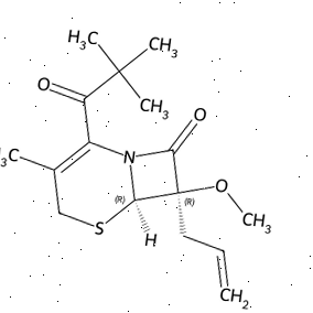 C=CC[C@@]1(OC)C(=O)N2C(C(=O)C(C)(C)C)=C(C)CS[C@@H]21